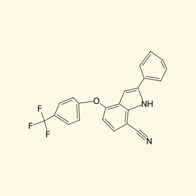 N#Cc1ccc(Oc2ccc(C(F)(F)F)cc2)c2cc(-c3ccccc3)[nH]c12